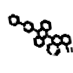 Sc1cccc2cc(-c3c4ccccc4c(-c4ccc(-c5ccccc5)cc4)c4ccccc34)c3c(c12)C#CCC=C3